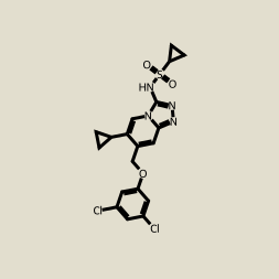 O=S(=O)(Nc1nnc2cc(COc3cc(Cl)cc(Cl)c3)c(C3CC3)cn12)C1CC1